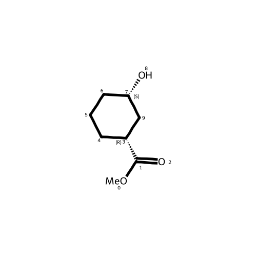 COC(=O)[C@@H]1CCC[C@H](O)C1